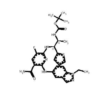 CCn1ncc2cc(Nc3nc(N[C@H](c4cccs4)[C@H](C)NC(=O)OC(C)(C)C)c(F)cc3C(N)=O)ccc21